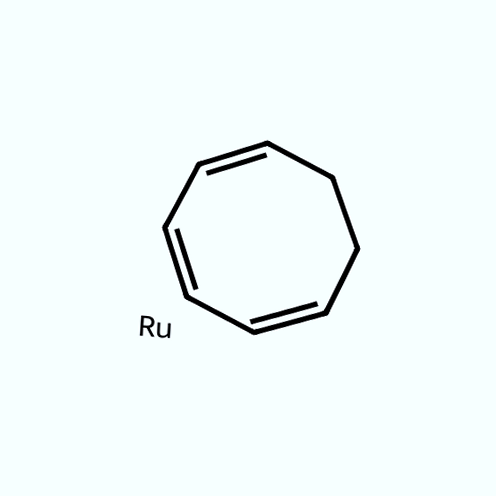 C1=C\C=C/CC\C=C/1.[Ru]